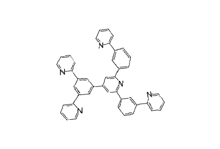 c1ccc(-c2cc(-c3cc(-c4cccc(-c5ccccn5)c4)nc(-c4cccc(-c5ccccn5)c4)c3)cc(-c3ccccn3)c2)nc1